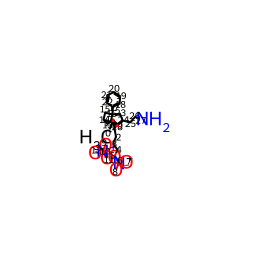 CC1(CC(CO[N+](=O)[O-])O[N+](=O)[O-])C=C2CC3(c4ccccc4)CC(CCN)(CC23)C1